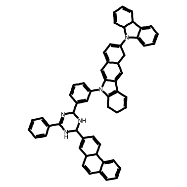 C1=CC2c3ccccc3N(C3=CC=C4C=c5c(c6c(n5-c5cccc(C7N=C(c8ccccc8)NC(C8=CC9C=Cc%10ccccc%10C9C=C8)N7)c5)CCC=C6)=CC4C3)C2C=C1